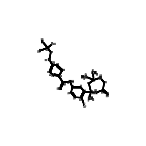 CC1(C)C[C@@](C)(c2cc(NC(=O)c3ccc(OCC(F)(F)F)cn3)ccc2F)NC(=S)CO1